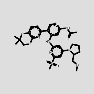 COCC1CCCN1c1cc(Nc2cc(NC(C)=O)ncc2-c2ccc3c(n2)OCC(C)(C)O3)nc(S(C)(=O)=O)c1